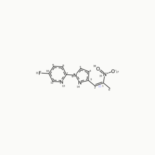 C/C(=C/c1ccn(-c2ccc(F)cn2)n1)[N+](=O)[O-]